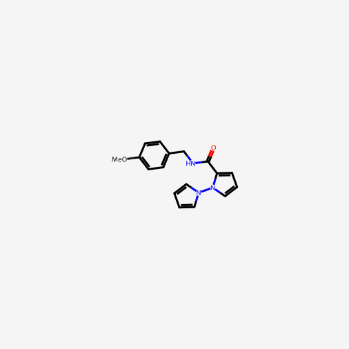 COc1ccc(CNC(=O)c2cccn2-n2cccc2)cc1